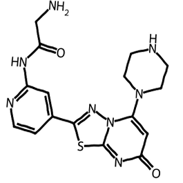 NCC(=O)Nc1cc(-c2nn3c(N4CCNCC4)cc(=O)nc3s2)ccn1